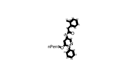 CCCCCOc1c/c(=N/C(=O)Cc2ccccc2C)cnn1-c1ccccc1